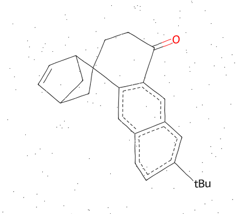 CC(C)(C)c1ccc2cc3c(cc2c1)C(=O)CCC31CC2C=CC1C2